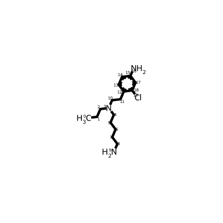 CCCN(CCCCCN)CCc1ccc(N)cc1Cl